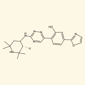 CC1(C)CC(Nc2ncc(-c3ccc(-c4ncco4)cc3O)nn2)[C@H](F)C(C)(C)N1